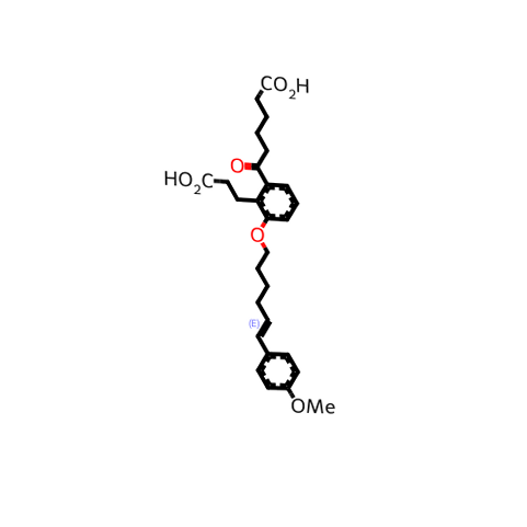 COc1ccc(/C=C/CCCCOc2cccc(C(=O)CCCCC(=O)O)c2CCC(=O)O)cc1